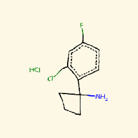 Cl.NC1(c2ccc(F)cc2Cl)CCC1